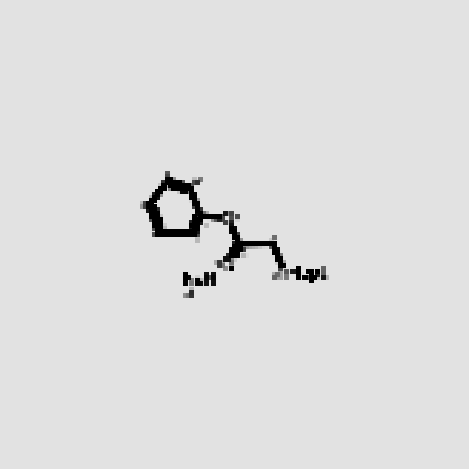 CCCCCCCCC(=O)Oc1ccccc1.[NaH]